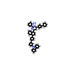 C1=C(c2ccc(-c3ccc(-c4cccc(-n5c6ccccc6c6ccccc65)c4)cc3)c3ccccc23)N=C(c2ccccc2)NC1c1ccc(-c2ccccc2)cc1